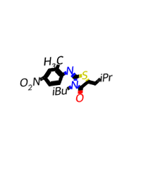 CCC(C)N1C(=O)C(CC(C)C)SC1=Nc1ccc([N+](=O)[O-])cc1C